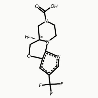 O=C(O)N1CCN2c3ncc(C(F)(F)F)cc3OC[C@H]2C1